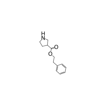 O=C(OCCc1ccccc1)C1CCNC1